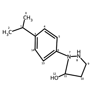 CC(C)c1ccc(N2NCCC2O)cc1